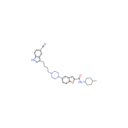 CC1CCC(NC(=O)c2cc3cc(N4CCN(CCCCc5c[nH]c6ccc(C#N)cc56)CC4)ccc3o2)CC1